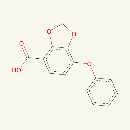 O=C(O)c1ccc(Oc2ccccc2)c2c1OCO2